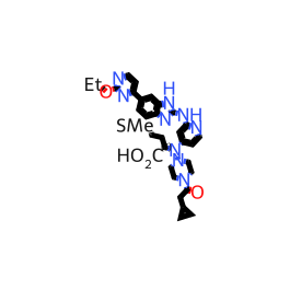 CCOc1nccc(-c2ccc3nc(Nc4cc(N([C@@H](CCSC)C(=O)O)N5CCN(C(=O)CC6CC6)CC5)ccn4)[nH]c3c2)n1